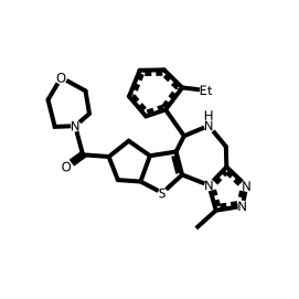 CCc1ccccc1C1NCc2nnc(C)n2C2=C1C1CC(C(=O)N3CCOCC3)CC1S2